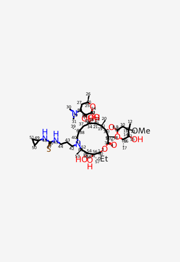 CC[C@H]1OC(=O)[C@H](C)[C@@H](O[C@H]2C[C@@](C)(OC)[C@@H](O)[C@H](C)O2)[C@H](C)[C@@H](O[C@@H]2O[C@H](C)C[C@H](N(C)C)[C@H]2O)[C@](C)(O)C[C@@H](C)CN(CCCNC(=S)NC2CC2)[C@H](C)[C@@H](O)[C@]1(C)O